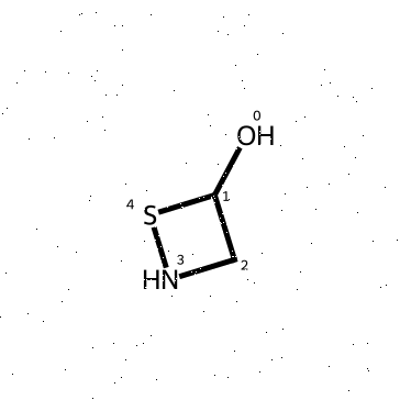 OC1CNS1